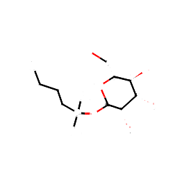 CCCC[Si](C)(C)OC1O[C@H](CO)[C@@H](O)[C@H](O)[C@@H]1O